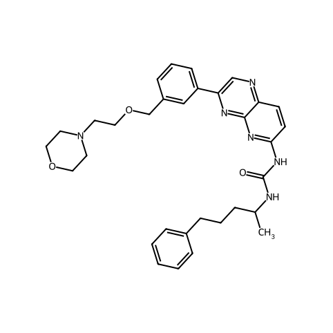 CC(CCCc1ccccc1)NC(=O)Nc1ccc2ncc(-c3cccc(COCCN4CCOCC4)c3)nc2n1